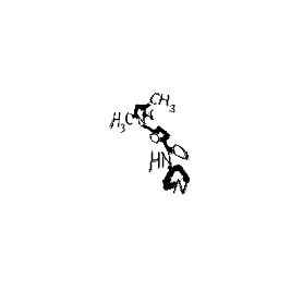 Cc1cc(C)n(Cc2ccc(C(=O)Nc3ccncc3)o2)n1